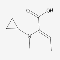 C/C=C(/C(=O)O)N(C)C1CC1